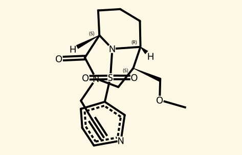 C#CCN1C[C@H](COC)[C@H]2CCC[C@@H](C1=O)N2S(=O)(=O)c1cccnc1